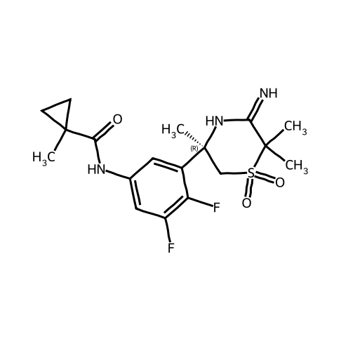 CC1(C(=O)Nc2cc(F)c(F)c([C@]3(C)CS(=O)(=O)C(C)(C)C(=N)N3)c2)CC1